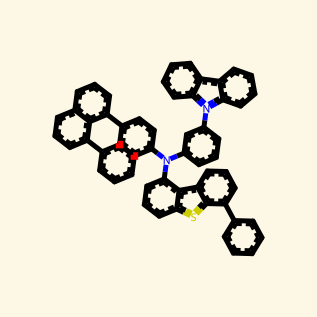 c1ccc(-c2cccc3c2sc2cccc(N(c4ccc(-c5cccc6cccc(-c7ccccc7)c56)cc4)c4cccc(-n5c6ccccc6c6ccccc65)c4)c23)cc1